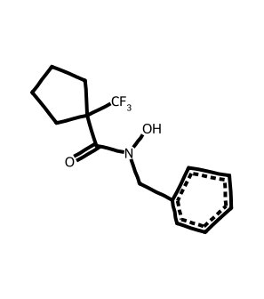 O=C(N(O)Cc1ccccc1)C1(C(F)(F)F)CCCC1